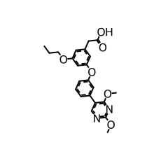 CCCOc1cc(CC(=O)O)cc(Oc2cccc(-c3cnc(OC)nc3OC)c2)c1